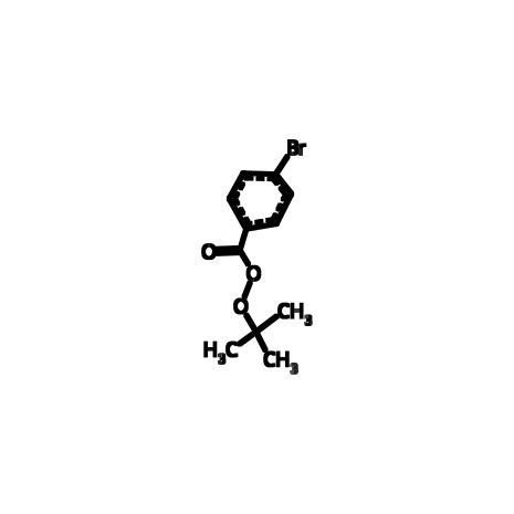 CC(C)(C)OOC(=O)c1ccc(Br)cc1